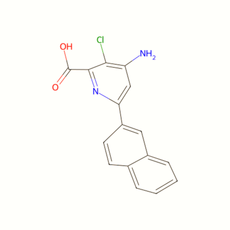 Nc1cc(-c2ccc3ccccc3c2)nc(C(=O)O)c1Cl